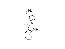 Nc1c(C(=O)Oc2ccc3cnccc3c2)sc2ccccc12